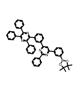 CC1(C)OB(c2cccc(-c3cc(-c4cccc(-c5nc(-c6ccccc6)c(-c6ccccc6)nc5-c5ccccc5)c4)nc(-c4ccccc4)n3)c2)OC1(C)C